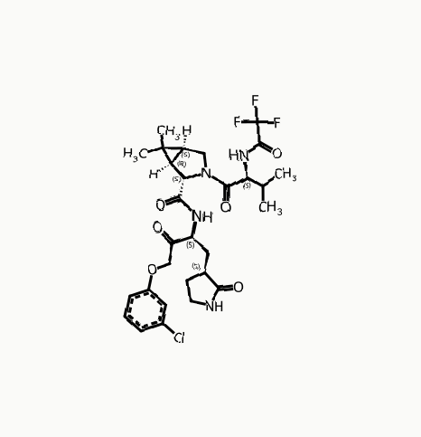 CC(C)[C@H](NC(=O)C(F)(F)F)C(=O)N1C[C@H]2[C@@H]([C@H]1C(=O)N[C@@H](C[C@@H]1CCNC1=O)C(=O)COc1cccc(Cl)c1)C2(C)C